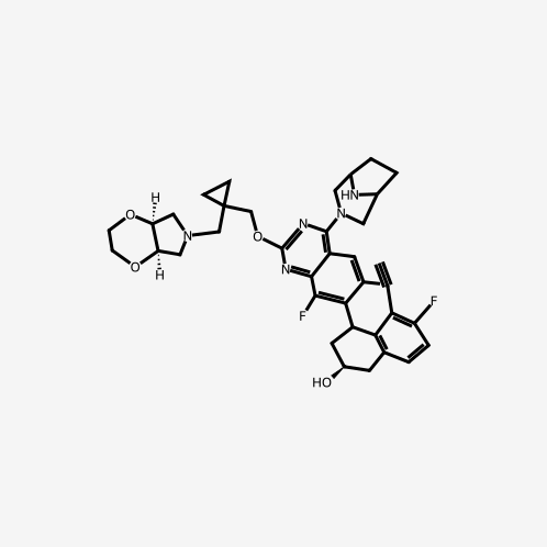 C#Cc1c(F)ccc2c1C(c1c(C)cc3c(N4CC5CCC(C4)N5)nc(OCC4(CN5C[C@@H]6OCCO[C@@H]6C5)CC4)nc3c1F)C[C@H](O)C2